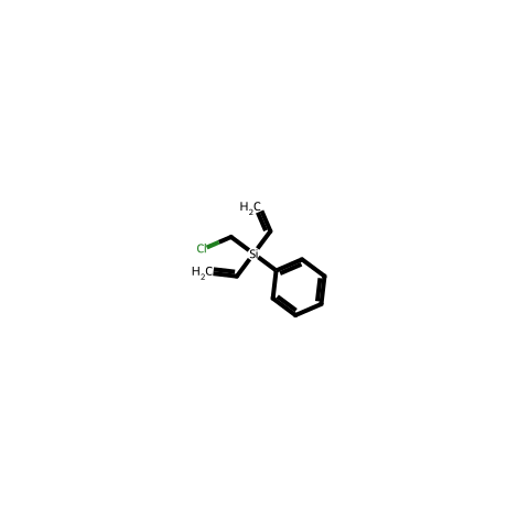 C=C[Si](C=C)(CCl)c1ccccc1